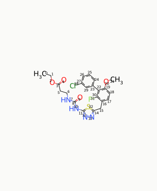 CCOC(=O)CCNC(=O)Nc1nnc(Cc2ccc(OC)c(-c3cccc(Cl)c3)c2F)s1